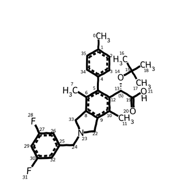 Cc1ccc(-c2c(C)c3c(c(C)c2[C@H](OC(C)(C)C)C(=O)O)CN(Cc2cc(F)cc(F)c2)C3)cc1